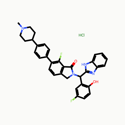 CN1CCC(c2ccc(-c3ccc4c(c3F)C(=O)N(C(c3nc5ccccc5[nH]3)c3cc(F)ccc3O)C4)cc2)CC1.Cl